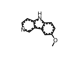 COc1ccc2[nH]c3ccncc3c2c1